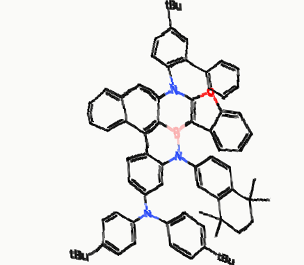 CC(C)(C)c1ccc(N(c2ccc(C(C)(C)C)cc2)c2ccc3c(c2)N(c2ccc4c(c2)C(C)(C)CCC4(C)C)B2c4c(cc5ccccc5c4-3)N(c3ccc(C(C)(C)C)cc3-c3ccccc3)c3oc4ccccc4c32)cc1